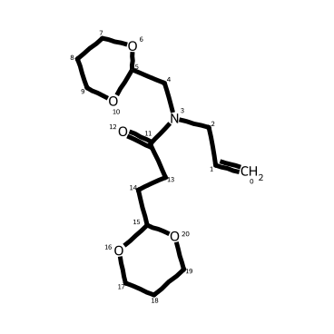 C=CCN(CC1OCCCO1)C(=O)CCC1OCCCO1